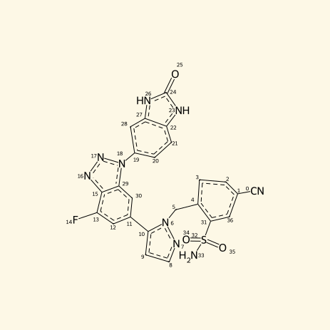 N#Cc1ccc(Cn2nccc2-c2cc(F)c3nnn(-c4ccc5[nH]c(=O)[nH]c5c4)c3c2)c(S(N)(=O)=O)c1